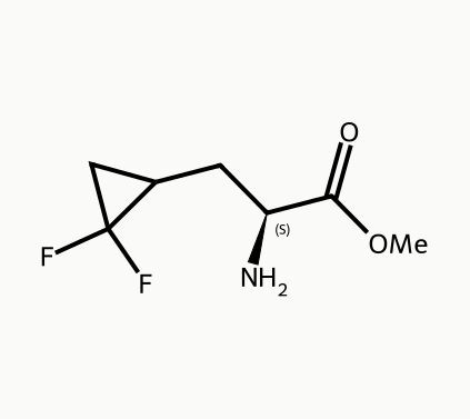 COC(=O)[C@@H](N)CC1CC1(F)F